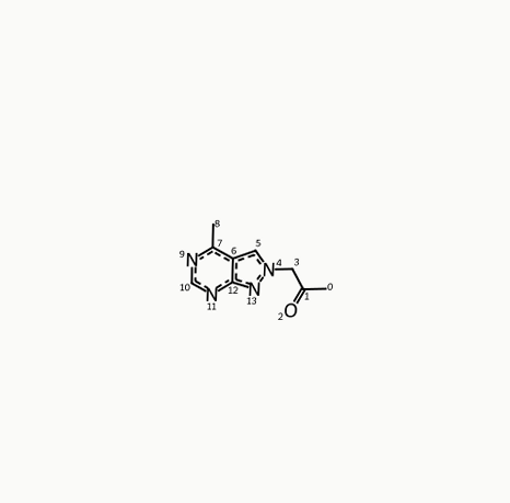 CC(=O)Cn1cc2c(C)ncnc2n1